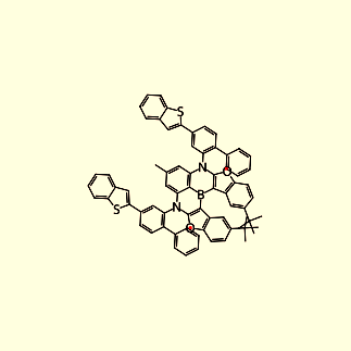 Cc1cc2c3c(c1)N(c1cc(-c4cc5ccccc5s4)ccc1-c1ccccc1)c1oc4ccc(C(C)(C)C)cc4c1B3c1c(oc3ccc(C(C)(C)C)cc13)N2c1cc(-c2cc3ccccc3s2)ccc1-c1ccccc1